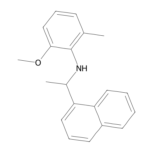 COc1cccc(C)c1NC(C)c1cccc2ccccc12